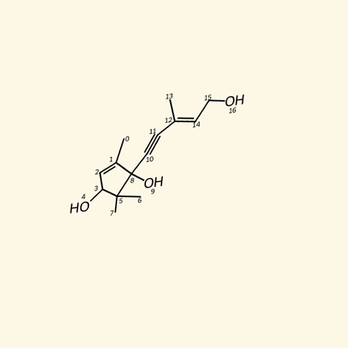 CC1=CC(O)C(C)(C)C1(O)C#C/C(C)=C/CO